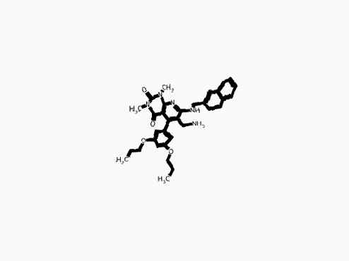 CCCOc1cc(OCCC)cc(-c2c(CN)c(NCc3ccc4ccccc4c3)nc3c2c(=O)n(C)c(=O)n3C)c1